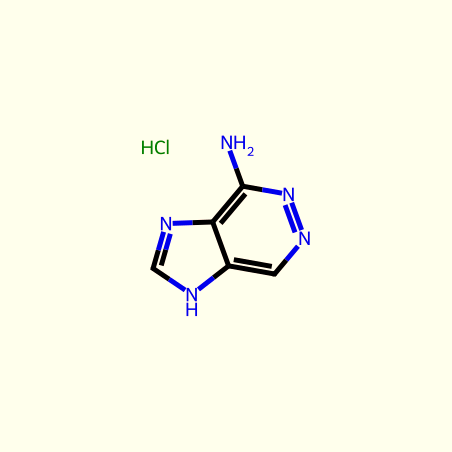 Cl.Nc1nncc2[nH]cnc12